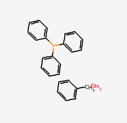 Cc1ccccc1.O.c1ccc(P(c2ccccc2)c2ccccc2)cc1